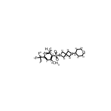 Cc1cc(C(F)(F)F)nc(C)c1S(=O)(=O)N1CC2(CN(C3CCOCC3)C2)C1